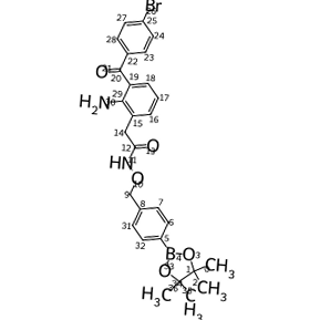 CC1(C)OB(c2ccc(CONC(=O)Cc3cccc(C(=O)c4ccc(Br)cc4)c3N)cc2)OC1(C)C